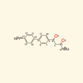 CCCCC(=O)CC(=O)c1ccc(-c2ccc(CCC)cc2)cc1